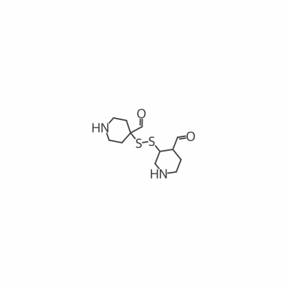 O=CC1CCNCC1SSC1(C=O)CCNCC1